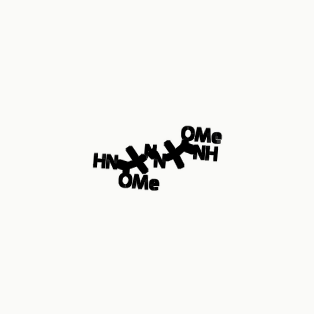 COC(=N)C(C)(C)/N=N/C(C)(C)C(=N)OC